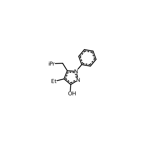 CCc1c(O)nn(-c2ccccc2)c1CC(C)C